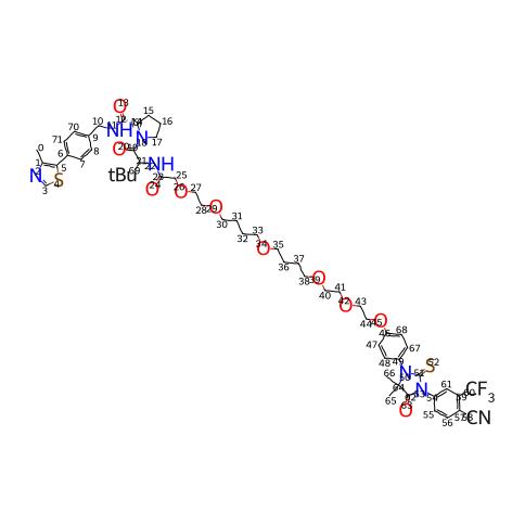 Cc1ncsc1-c1ccc(CNC(=O)[C@@H]2CCCN2C(=O)C(NC(=O)COCCOCCCCOCCCCOCCOCCOc2ccc(N3C(=S)N(c4ccc(C#N)c(C(F)(F)F)c4)C(=O)C3(C)C)cc2)C(C)(C)C)cc1